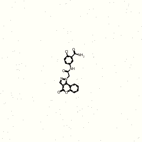 NC(=O)c1cc(NC(=O)Cn2ncc3c(=O)oc4ccccc4c32)ccc1Cl